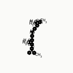 Cc1ccc(N(c2ccccc2)c2ccc(-c3ccc4c(c3)C(C)(C)C(C)(C)c3cc(-c5ccc(-c6nnc(-c7ccc(-c8ccc9c(c8)C(C)(C)C(C)(C)c8cc(C)ccc8-9)cc7)o6)cc5)ccc3-4)cc2)cc1